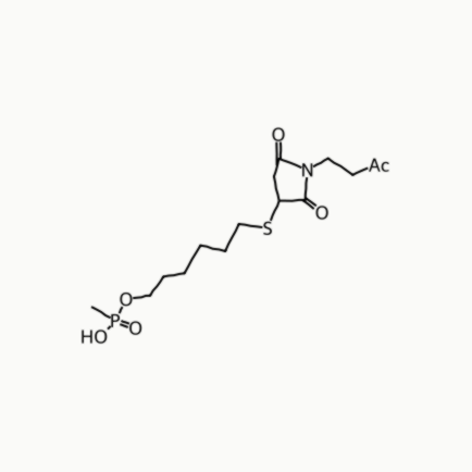 CC(=O)CCN1C(=O)CC(SCCCCCCOP(C)(=O)O)C1=O